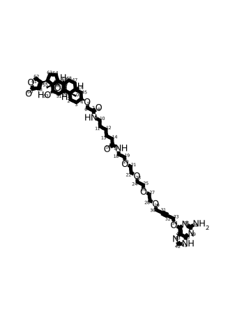 C[C@]12CC[C@H](OCC(=O)NCCCCCC(=O)NCCOCCOCCOCCOCC#CCOc3nc(N)nc4[nH]cnc34)C[C@H]1CC[C@@H]1[C@H]2C[C@@H](O)[C@]2(C)[C@@H](C3=CC(=O)OC3)CC[C@]12O